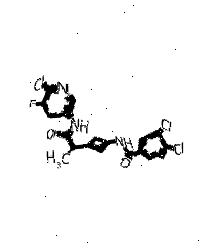 C[C@@H](C(=O)Nc1cnc(Cl)c(F)c1)C12CC(NC(=O)c3ccc(Cl)c(Cl)c3)(C1)C2